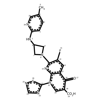 Cc1ccc(NC2CN(c3nc4c(cc3F)c(=O)c(C(=O)O)cn4-c3ncns3)C2)nc1